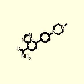 CN1CCN(c2ccc(-c3ccc(C(N)=O)c4n[c]nn34)cc2)CC1